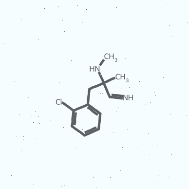 CNC(C)(C=N)Cc1ccccc1Cl